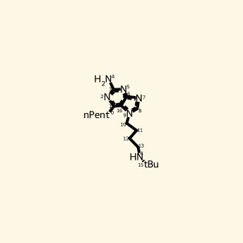 CCCCCc1nc(N)nc2ncn(CCCCNC(C)(C)C)c12